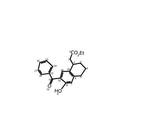 CCOC(=O)CC1CCCc2cc(O)c(C(=O)c3ccccc3)cc21